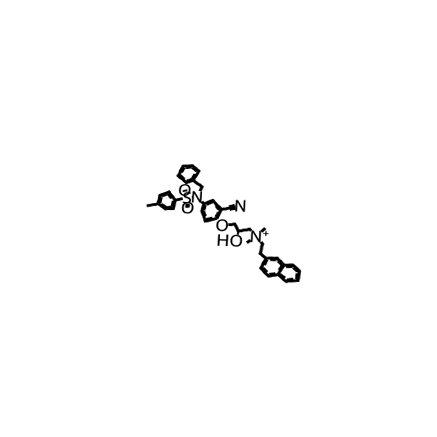 Cc1ccc(S(=O)(=O)N(Cc2ccccc2)c2ccc(OC[C@H](O)C[N+](C)(C)CCc3ccc4ccccc4c3)c(C#N)c2)cc1